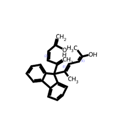 C=C(O)/C=C\C(=C)C1(/C(C)=C/C=C(\C)O)c2ccccc2-c2ccccc21